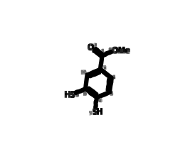 COC(=O)c1ccc(S)c(S)c1